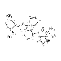 CC(C)Oc1ccc(C(F)(F)F)cc1[C@H]1CO[C@]2(CCCN(Cc3nn[nH]c3C(C)(C)N)[C@H]2c2ccccc2)C1